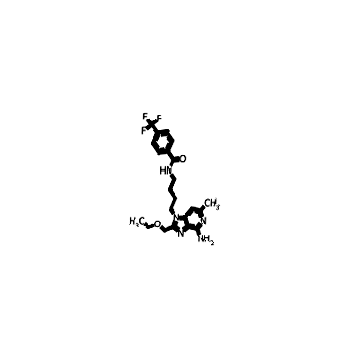 CCOCc1nc2c(N)nc(C)cc2n1CCCCNC(=O)c1ccc(C(F)(F)F)cc1